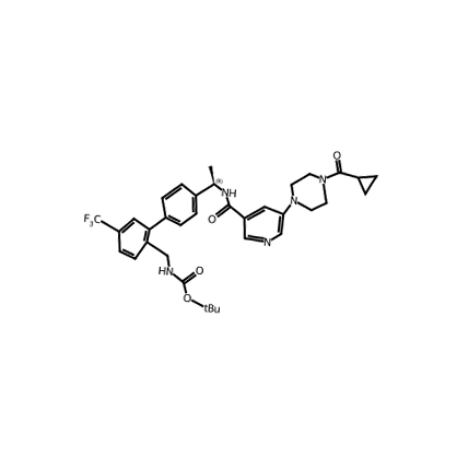 C[C@@H](NC(=O)c1cncc(N2CCN(C(=O)C3CC3)CC2)c1)c1ccc(-c2cc(C(F)(F)F)ccc2CNC(=O)OC(C)(C)C)cc1